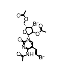 CC(=O)Nc1nc(=O)n([C@@H]2O[C@H](COC(C)=O)[C@H](Br)[C@H]2OC(C)=O)cc1C=CBr